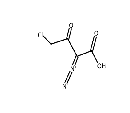 [N-]=[N+]=C(C(=O)O)C(=O)CCl